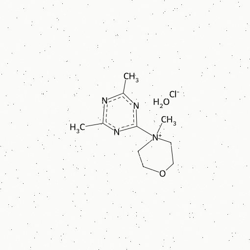 Cc1nc(C)nc([N+]2(C)CCOCC2)n1.O.[Cl-]